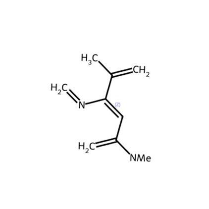 C=N/C(=C\C(=C)NC)C(=C)C